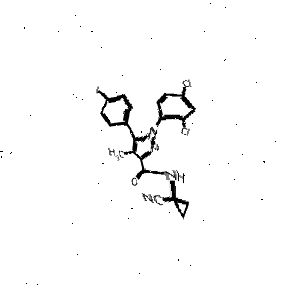 Cc1c(C(=O)NC2(C#N)CC2)nn(-c2ccc(Cl)cc2Cl)c1-c1ccc(I)cc1